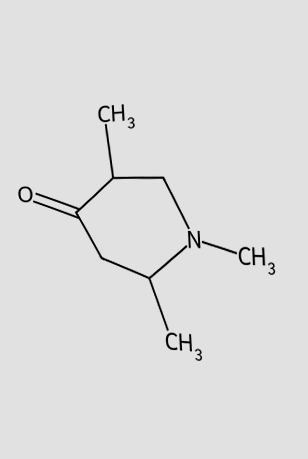 CC1CN(C)C(C)CC1=O